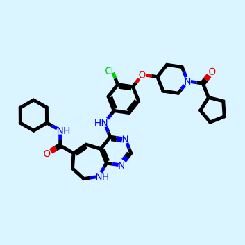 O=C(NC1CCCCC1)C1=Cc2c(ncnc2Nc2ccc(OC3CCN(C(=O)C4CCCC4)CC3)c(Cl)c2)NCC1